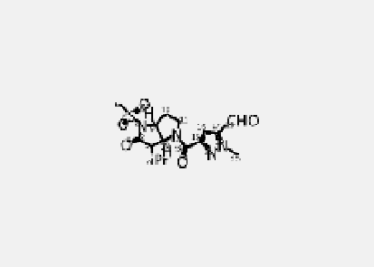 CC(C)C1C(=O)N(S(C)(=O)=O)[C@@H]2CCN(C(=O)c3cc(C=O)n(C)n3)[C@@H]12